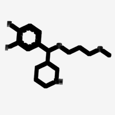 COCCCOC(c1ccc(F)c(F)c1)C1CCCNC1